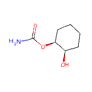 NC(=O)O[C@H]1CCCC[C@H]1O